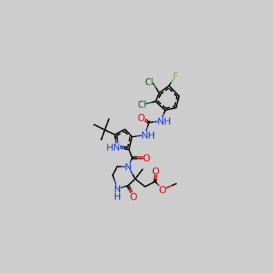 COC(=O)CC1(C)C(=O)NCCN1C(=O)c1[nH]c(C(C)(C)C)cc1NC(=O)Nc1ccc(F)c(Cl)c1Cl